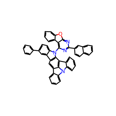 c1ccc(-c2ccc3c(c2)c2cc4c5ccccc5n5c6ccccc6c(c2n3-c2nc(-c3ccc6ccccc6c3)nc3oc6ccccc6c23)c45)cc1